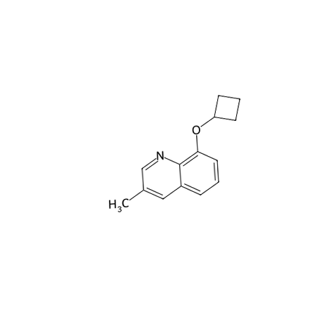 Cc1cnc2c(OC3CCC3)cccc2c1